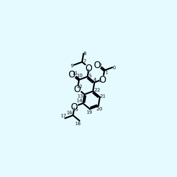 CC(=O)Oc1c(OC(C)C)c(=O)oc2c(OC(C)C)cccc12